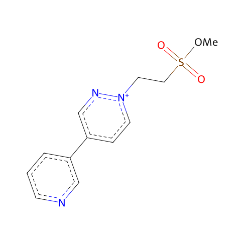 COS(=O)(=O)CC[n+]1ccc(-c2cccnc2)cn1